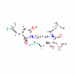 O=C1c2ccc(F)cc2C(=O)N1c1cc2c(cc1F)OC1(CC1)C(=O)N2CC1CC1